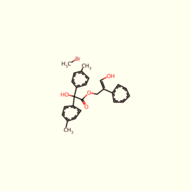 CBr.Cc1ccc(C(O)(C(=O)OCC(=CO)c2ccccc2)c2ccc(C)cc2)cc1